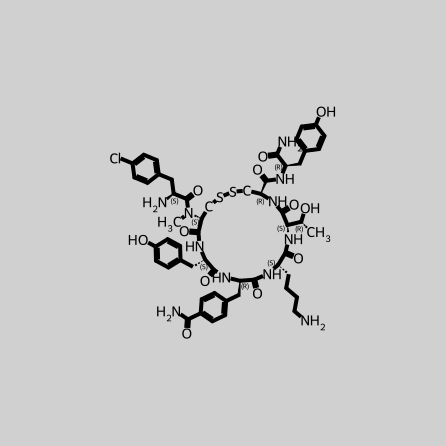 C[C@@H](O)[C@@H]1NC(=O)[C@H](CCCCN)NC(=O)[C@@H](Cc2ccc(C(N)=O)cc2)NC(=O)[C@H](Cc2ccc(O)cc2)NC(=O)[C@H](N(C)C(=O)[C@@H](N)Cc2ccc(Cl)cc2)CSSC[C@@H](C(=O)N[C@H](Cc2ccc(O)cc2)C(N)=O)NC1=O